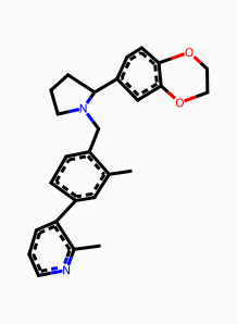 Cc1cc(-c2cccnc2C)ccc1CN1CCCC1c1ccc2c(c1)OCCO2